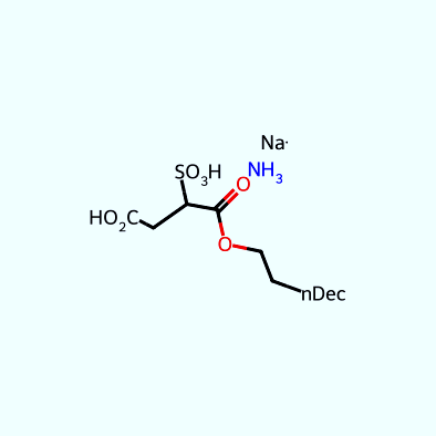 CCCCCCCCCCCCOC(=O)C(CC(=O)O)S(=O)(=O)O.N.[Na]